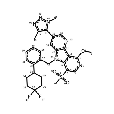 COc1ncc(S(C)(=O)=O)c2c1c1ncc(-c3c(C)nnn3C)cc1n2Cc1ccccc1C1CCC(F)(F)CC1